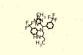 CCC1CN(C(c2cccc(C(F)(F)F)c2)c2nnn(C)n2)c2cc(C(F)(F)F)ccc2N1